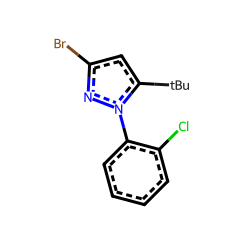 CC(C)(C)c1cc(Br)nn1-c1ccccc1Cl